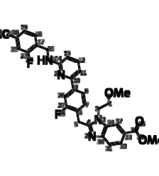 COCCn1c(Cc2ccc(-c3cccc(NCc4ccc(C#N)cc4F)n3)cc2F)nc2ccc(C(=O)OC)cc21